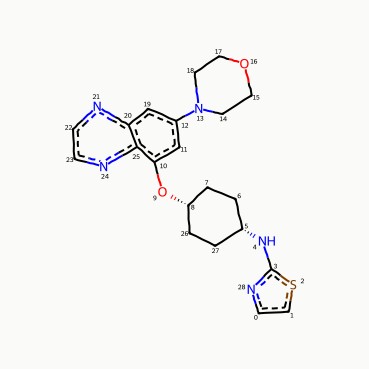 c1csc(N[C@H]2CC[C@@H](Oc3cc(N4CCOCC4)cc4nccnc34)CC2)n1